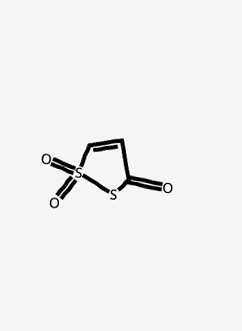 O=C1C=CS(=O)(=O)S1